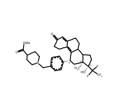 COC(=O)C1CCN(Cc2ccc([C@H]3C[C@@]4(C)C(CC[C@@]4(O)C(F)(F)C(F)(F)F)C4CCC5=CC(=O)CCC5=C43)cc2)CC1